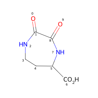 O=C1NCCC(C(=O)O)NC1=O